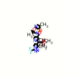 COC(=O)C(C)(C)C(c1cc(CN2CC3(CC3)Oc3ncc(C)cc3S2(=O)=O)c(C)cn1)c1ccn2c(C(F)F)nnc2c1C